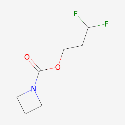 O=C(OCCC(F)F)N1CCC1